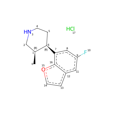 C[C@H]1CNCC[C@H]1c1cc(F)cc2ccoc12.Cl